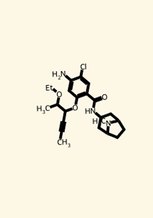 CC#CC(Oc1cc(N)c(Cl)cc1C(=O)NC1CC2CCC(C1)N2C)C(C)OCC